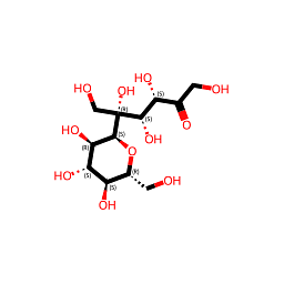 O=C(CO)[C@@H](O)[C@H](O)[C@](O)(CO)[C@H]1O[C@H](CO)[C@@H](O)[C@H](O)[C@H]1O